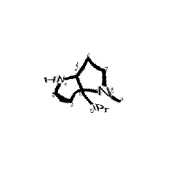 CC(C)C12CCNC1CCN2C